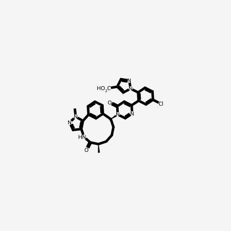 C[C@@H]1CCC[C@H](n2cnc(-c3cc(Cl)ccc3-n3cc(C(=O)O)cn3)cc2=O)c2cccc(c2)-c2c(cnn2C)NC1=O